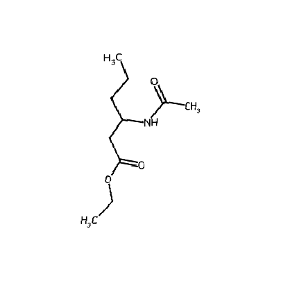 CCCC(CC(=O)OCC)NC(C)=O